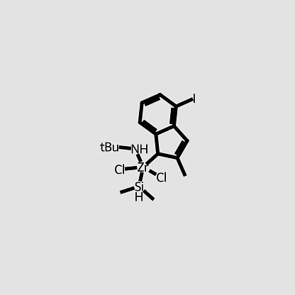 CC1=Cc2c(I)cccc2[CH]1[Zr]([Cl])([Cl])([NH]C(C)(C)C)[SiH](C)C